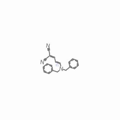 N#CC(C#N)=C/C=C/N(Cc1ccccc1)Cc1ccccc1